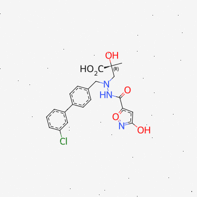 C[C@@](O)(CN(Cc1ccc(-c2cccc(Cl)c2)cc1)NC(=O)c1cc(O)no1)C(=O)O